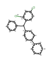 Clc1ccc([C](c2ccccc2)c2ccc(-c3ccccc3)cc2)c(Cl)c1